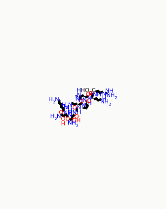 N=C(N)NCC/C=C(\NC(=O)[C@H](CCCCN)NC(=O)[C@H](Cc1cnc[nH]1)NC(=O)[C@@H]1CCCN1C(=O)[C@@H](CCCN)NC(=O)CNC(=O)[C@@H](NC(=O)[C@@H](NC(=O)[C@@H](N)CCCCN)[C@@H](O)CN)[C@@H](O)CN)C(=O)O